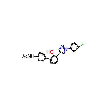 CC(=O)Nc1ccc(-c2cccc(-c3cnn(-c4ccc(F)cc4)c3)c2O)cc1